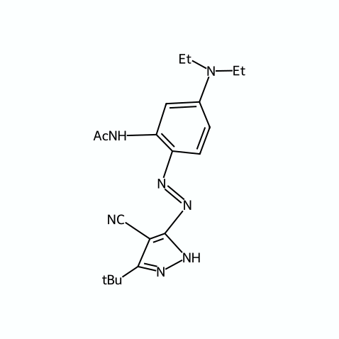 CCN(CC)c1ccc(/N=N/c2[nH]nc(C(C)(C)C)c2C#N)c(NC(C)=O)c1